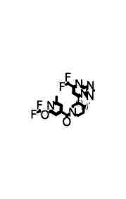 Cc1cc(C(=O)N2CC[C@@H](C)[C@H](c3cc(C(F)F)nc4ncnn34)C2)cc(OC(F)F)n1